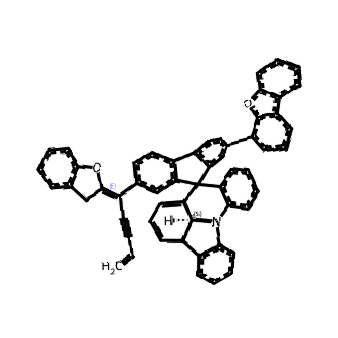 C=CC#C/C(=C1\Cc2ccccc2O1)c1ccc2c(c1)C1(C3=CC=CC4c5ccccc5N(c5ccccc51)[C@H]34)c1cc(-c3cccc4c3oc3ccccc34)ccc1-2